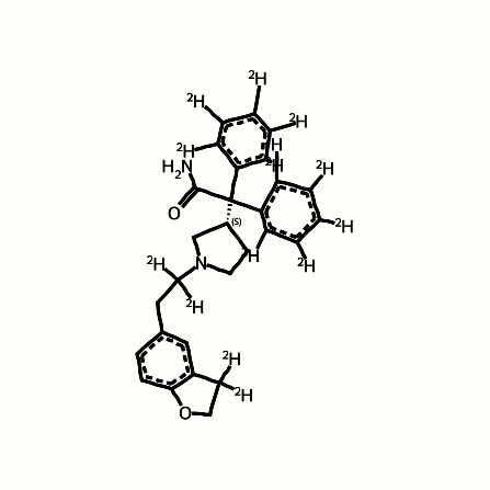 [2H]c1c([2H])c([2H])c(C(C(N)=O)(c2c([2H])c([2H])c([2H])c([2H])c2[2H])[C@@H]2CCN(C([2H])([2H])Cc3ccc4c(c3)C([2H])([2H])CO4)C2)c([2H])c1[2H]